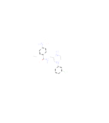 CCc1cc(NS(C)(=O)=O)ccc1C(=O)N(C)CC1CN(c2cccc(Cl)c2)CCN1